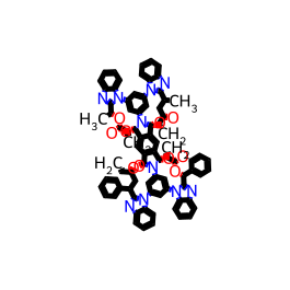 C=CC(=O)CC(C)c1nc2ccccc2n1-c1cc(-n2c(=O)c3cc4c(=O)n(-c5cc(-n6c(C(CC(=O)C=C)c7ccccc7)nc7ccccc76)cc(-n6c(C(OC(=O)C=C)c7ccccc7)nc7ccccc76)c5)c(=O)c4cc3c2=O)cc(-n2c(C(C)OC(=O)C=C)nc3ccccc32)c1